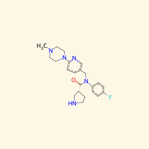 CN1CCN(c2ccc(CN(C(=O)[C@@H]3CCNC3)c3ccc(F)cc3)cn2)CC1